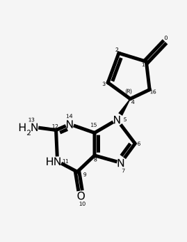 C=C1C=C[C@H](n2cnc3c(=O)[nH]c(N)nc32)C1